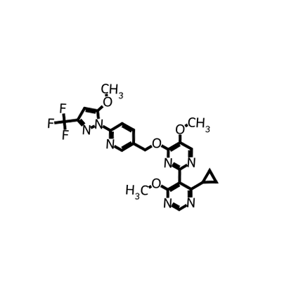 COc1cnc(-c2c(OC)ncnc2C2CC2)nc1OCc1ccc(-n2nc(C(F)(F)F)cc2OC)nc1